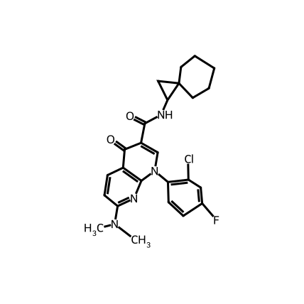 CN(C)c1ccc2c(=O)c(C(=O)NC3CC34CCCCC4)cn(-c3ccc(F)cc3Cl)c2n1